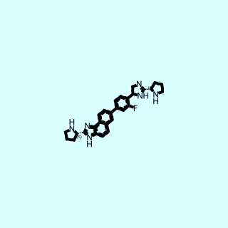 Fc1cc(-c2ccc3c(ccc4[nH]c([C@@H]5CCCN5)nc43)c2)ccc1C1CN=C([C@@H]2CCCN2)N1